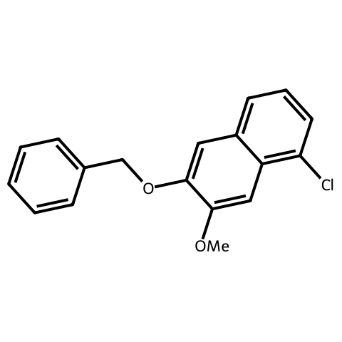 COc1cc2c(Cl)cccc2cc1OCc1ccccc1